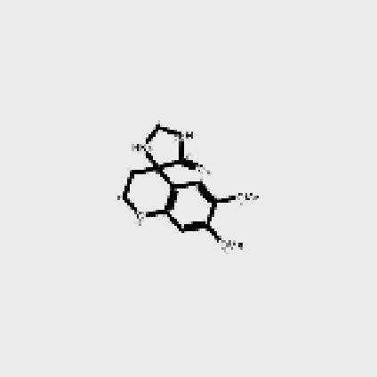 COc1cc2c(cc1OC)C1(CCO2)NCNC1=O